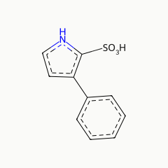 O=S(=O)(O)c1[nH]ccc1-c1ccccc1